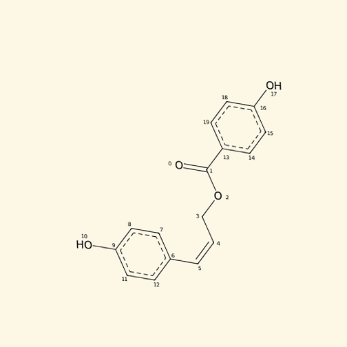 O=C(OC/C=C\c1ccc(O)cc1)c1ccc(O)cc1